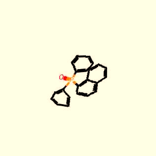 O=P(c1ccccc1)(c1ccccc1)c1cccc2ccc[c]c12